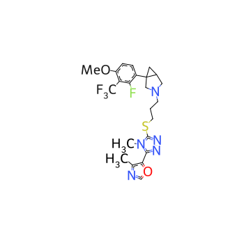 COc1ccc(C23CC2CN(CCCSc2nnc(-c4ocnc4C)n2C)C3)c(F)c1C(F)(F)F